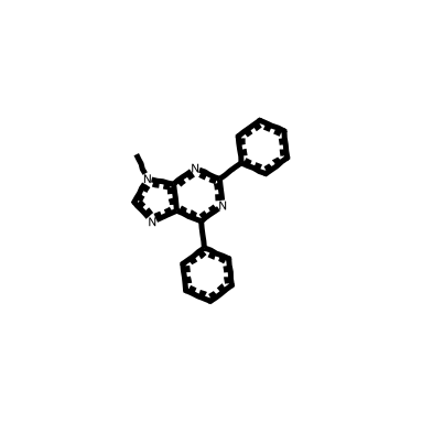 Cn1cnc2c(-c3ccccc3)nc(-c3ccccc3)nc21